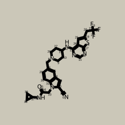 N#Cc1cc2cc(CN3CCC(Nc4ncnc5sc(CC(F)(F)F)cc45)CC3)ccc2n1CC(=O)NC1CC1